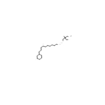 COCC(C)(CO)COP(=O)(O)OCCCCCC[C@H](C)CCCC1CCC[C@@H](C)C1